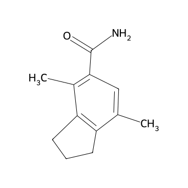 Cc1cc(C(N)=O)c(C)c2c1CCC2